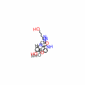 COC(=O)[C@@H]1[C@H]2C[C@@H]([C@@]3(CCn4cc(CCCCO)nn4)C(=O)Nc4ccccc43)N(C#N)C[C@@H]2CC[C@@H]1O